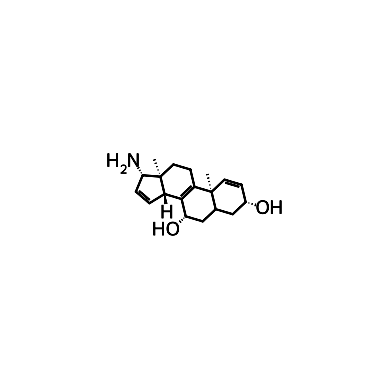 C[C@]12CCC3=C([C@@H](O)CC4C[C@@H](O)C=C[C@]34C)[C@@H]1C=C[C@@H]2N